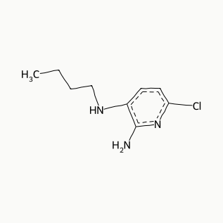 CCCCNc1ccc(Cl)nc1N